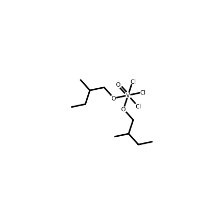 CCC(C)C[O][V](=[O])([Cl])([Cl])([Cl])[O]CC(C)CC